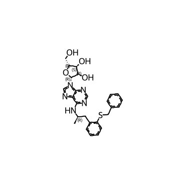 C[C@H](Cc1ccccc1SCc1ccccc1)Nc1ncnc2c1ncn2[C@@H]1O[C@H](CO)[C@@H](O)[C@H]1O